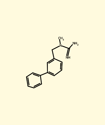 CN(Cc1cccc(-c2ccccc2)c1)C(=N)N